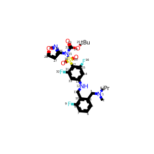 CC(C)N(C)Cc1cccc(F)c1CNc1cc(F)c(S(=O)(=O)N(C(=O)OC(C)(C)C)c2ccon2)c(F)c1